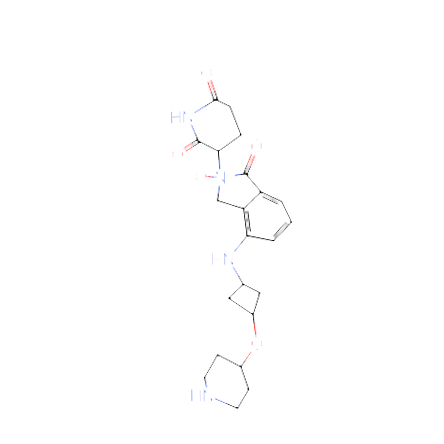 O=C1CCC([N+]2([O-])Cc3c(NC4CC(OC5CCNCC5)C4)cccc3C2=O)C(=O)N1